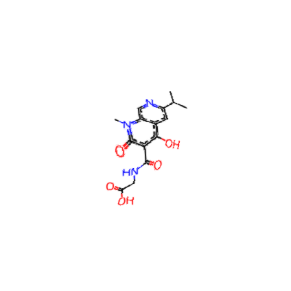 CC(C)c1cc2c(O)c(C(=O)NCC(=O)O)c(=O)n(C)c2cn1